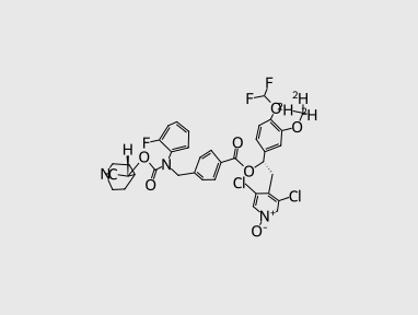 [2H]C([2H])([2H])Oc1cc([C@H](Cc2c(Cl)c[n+]([O-])cc2Cl)OC(=O)c2ccc(CN(C(=O)O[C@H]3CN4CCC3CC4)c3ccccc3F)cc2)ccc1OC(F)F